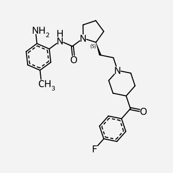 Cc1ccc(N)c(NC(=O)N2CCC[C@H]2CCN2CCC(C(=O)c3ccc(F)cc3)CC2)c1